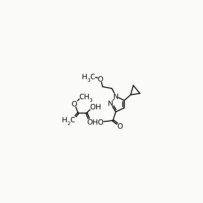 C=C(OC)C(=O)O.COCCn1nc(C(=O)O)cc1C1CC1